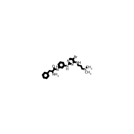 CN(C)CCCNc1nc(Nc2cccc(NC(=O)C(N)Cc3ccccc3)c2)ncc1Br